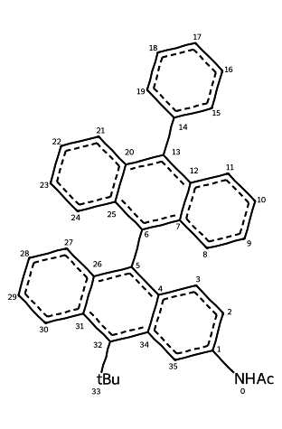 CC(=O)Nc1ccc2c(-c3c4ccccc4c(-c4ccccc4)c4ccccc34)c3ccccc3c(C(C)(C)C)c2c1